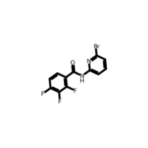 O=C(Nc1cccc(Br)n1)c1ccc(F)c(F)c1F